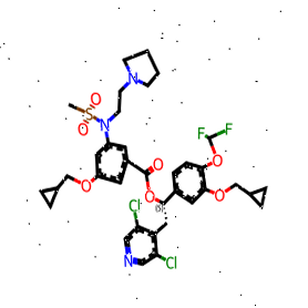 CS(=O)(=O)N(CCN1CCCC1)c1cc(OCC2CC2)cc(C(=O)O[C@@H](Cc2c(Cl)cncc2Cl)c2ccc(OC(F)F)c(OCC3CC3)c2)c1